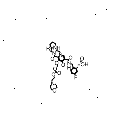 O=C(OCCN1CCOCC1)OCOc1c2n(cc(C(=O)NCc3ccc(F)cc3F)c1=O)C[C@@H]1N(C[C@H]3CCCN31)C2=O.O=CO